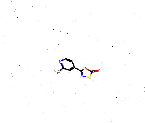 O=c1oc(-c2ccnc(C(F)(F)F)c2)ns1